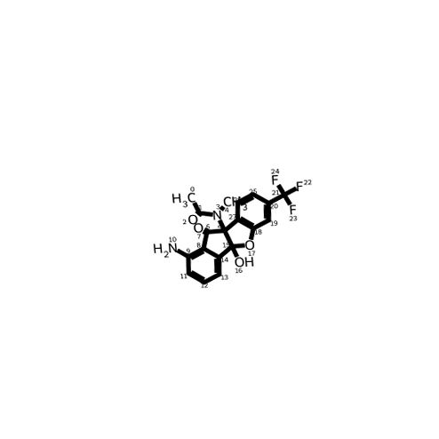 CC(=O)N(C)C12C(=O)c3c(N)cccc3C1(O)Oc1cc(C(F)(F)F)ccc12